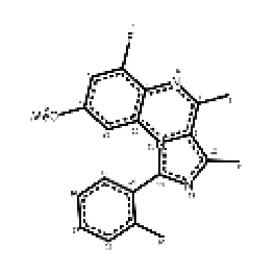 COc1cc(F)c2nc(C)c3c(C)nc(-c4ccccc4C)n3c2c1